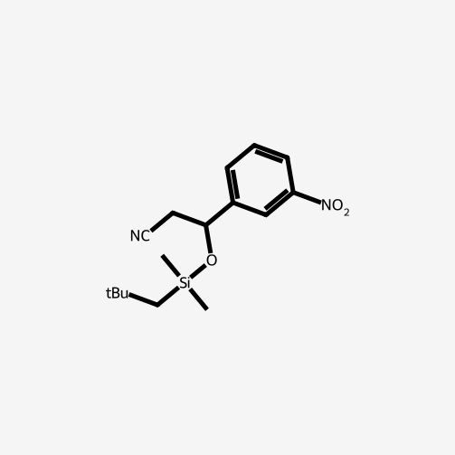 CC(C)(C)C[Si](C)(C)OC(CC#N)c1cccc([N+](=O)[O-])c1